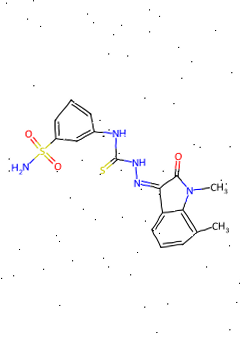 Cc1cccc2c1N(C)C(=O)C2=NNC(=S)Nc1cccc(S(N)(=O)=O)c1